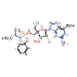 CCOC(=O)[C@H](C)NP(=S)(OC[C@@]1(CCl)O[C@@H](n2cnc3c(NC)nc(N)nc32)[C@@H](F)[C@@H]1O)Oc1ccccc1